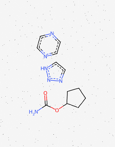 NC(=O)OC1CCCC1.c1c[nH]nn1.c1cnccn1